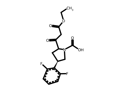 CCOC(=O)CC(=O)C1C[C@H](c2c(F)cccc2F)CN1C(=O)O